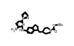 CC(C)(C)OC(=O)N1CCC(CC2CCc3cc(Nc4nc(-n5cccn5)ccc4N)ccc32)CC1